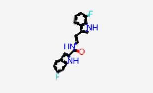 O=C(NCCc1c[nH]c2c(F)cccc12)c1cc2ccc(F)cc2[nH]1